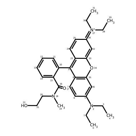 CCN(CC)c1ccc2c(-c3ccccc3C(=O)N(C)CCO)c3ccc(=[N+](CC)CC)cc-3oc2c1